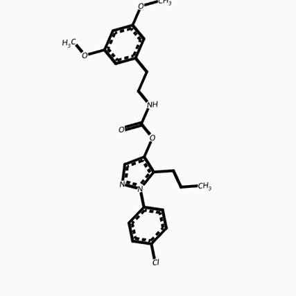 CCCc1c(OC(=O)NCCc2cc(OC)cc(OC)c2)cnn1-c1ccc(Cl)cc1